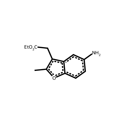 CCOC(=O)Cc1c(C)oc2ccc(N)cc12